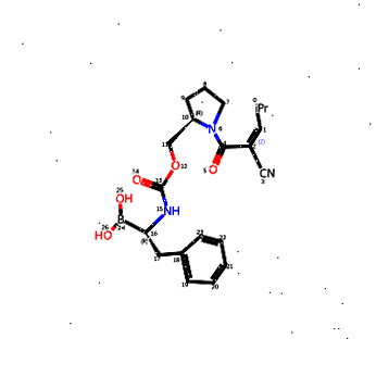 CC(C)/C=C(/C#N)C(=O)N1CCC[C@@H]1COC(=O)N[C@@H](Cc1ccccc1)B(O)O